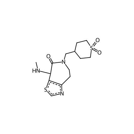 CNC1C(=O)N(CC2CCS(=O)(=O)CC2)CCc2ncsc21